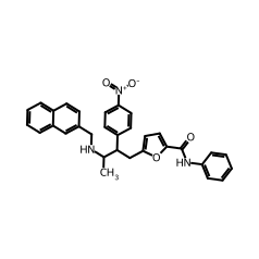 CC(NCc1ccc2ccccc2c1)C(Cc1ccc(C(=O)Nc2ccccc2)o1)c1ccc([N+](=O)[O-])cc1